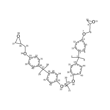 CC(C)(c1ccc(OCC2CO2)cc1)c1ccc(O[Si](C)(C)Oc2ccc(C(C)(C)c3ccc(OCC4CO4)cc3)cc2)cc1